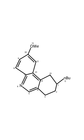 CCCCC1CCc2cnc3ccc(OC)cc3c2C1